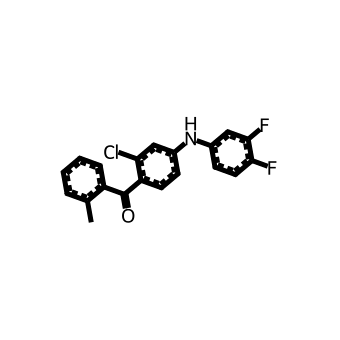 Cc1ccccc1C(=O)c1ccc(Nc2ccc(F)c(F)c2)cc1Cl